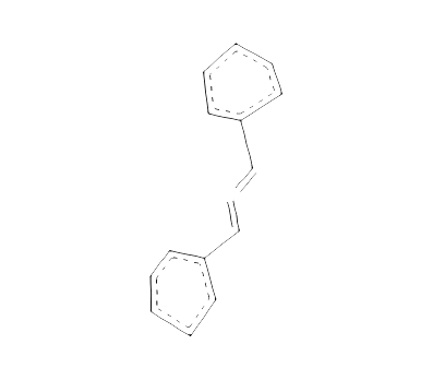 [CH](=[Fe]=[CH]c1ccccc1)c1ccccc1